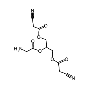 N#CCC(=O)OCC(COC(=O)CC#N)OC(=O)CN